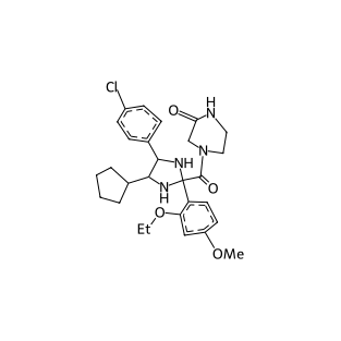 CCOc1cc(OC)ccc1C1(C(=O)N2CCNC(=O)C2)NC(c2ccc(Cl)cc2)C(C2CCCC2)N1